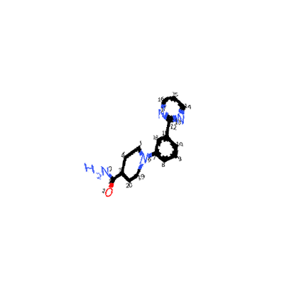 NC(=O)C1CCN(c2cccc(-c3ncccn3)c2)CC1